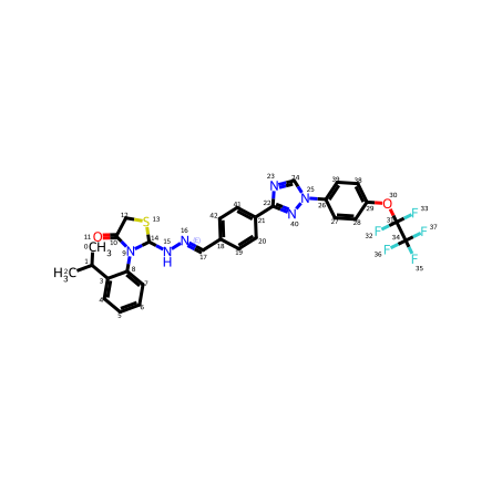 CC(C)c1ccccc1N1C(=O)CSC1N/N=C/c1ccc(-c2ncn(-c3ccc(OC(F)(F)C(F)(F)F)cc3)n2)cc1